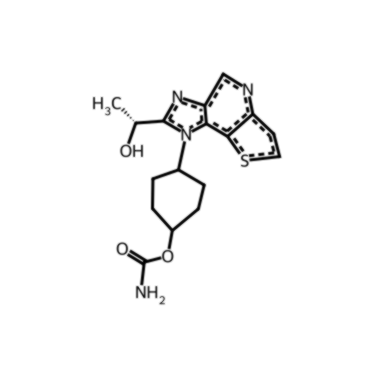 C[C@@H](O)c1nc2cnc3ccsc3c2n1C1CCC(OC(N)=O)CC1